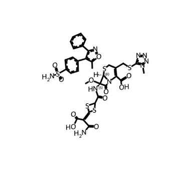 CO[C@@]1(NC(=O)C2SC(=C(C(N)=O)C(=O)O)S2)C(=O)N2C(C(=O)O)=C(CSc3nnnn3C)CS[C@@H]21.Cc1onc(-c2ccccc2)c1-c1ccc(S(N)(=O)=O)cc1